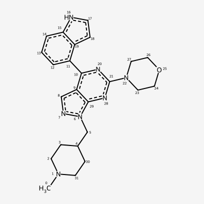 CN1CCC(Cn2ncc3c(-c4cccc5[nH]ccc45)nc(N4CCOCC4)nc32)CC1